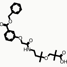 CC(C)(CCNC(=O)COc1cccc(C(=O)OCc2ccccc2)c1)OCC(C)(C)C(=O)O